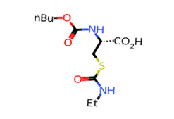 CCCCOC(=O)N[C@@H](CSC(=O)NCC)C(=O)O